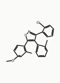 COc1ccc(-c2onc(-c3ccccc3Cl)c2-c2ccccc2C)c(C)c1